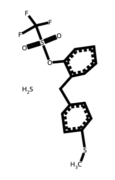 CSc1ccc(Cc2ccccc2OS(=O)(=O)C(F)(F)F)cc1.S